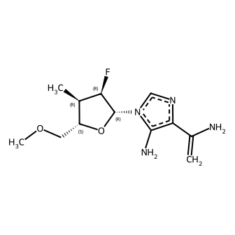 C=C(N)c1ncn([C@@H]2O[C@H](COC)[C@@H](C)[C@H]2F)c1N